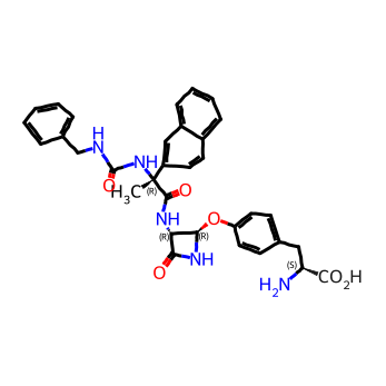 C[C@](NC(=O)NCc1ccccc1)(C(=O)N[C@H]1C(=O)N[C@@H]1Oc1ccc(C[C@H](N)C(=O)O)cc1)c1ccc2ccccc2c1